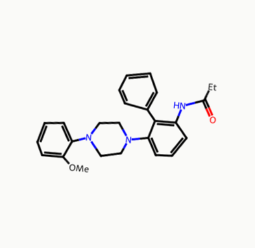 CCC(=O)Nc1cccc(N2CCN(c3ccccc3OC)CC2)c1-c1ccccc1